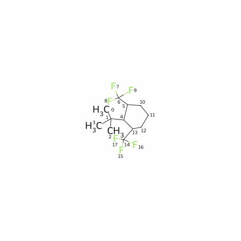 CC(C)(C)C1C(C(F)(F)F)CCCC1C(F)(F)F